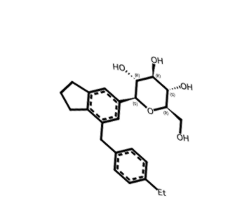 CCc1ccc(Cc2cc([C@@H]3O[C@H](CO)[C@@H](O)[C@H](O)[C@H]3O)cc3c2CCC3)cc1